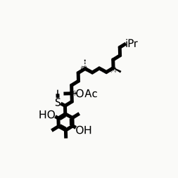 CC(=O)O[C@](C)(CCC[C@H](C)CCC[C@H](C)CCCC(C)C)CC(SI)c1c(C)c(O)c(C)c(C)c1O